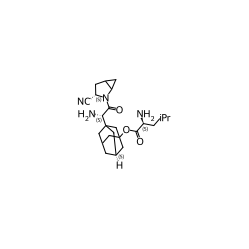 CC(C)C[C@H](N)C(=O)OC12CC3C[C@H](C1)CC([C@H](N)C(=O)N1C4CC4C[C@H]1C#N)(C3)C2